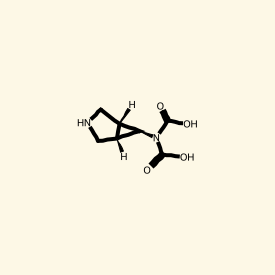 O=C(O)N(C(=O)O)[C@H]1[C@@H]2CNC[C@@H]21